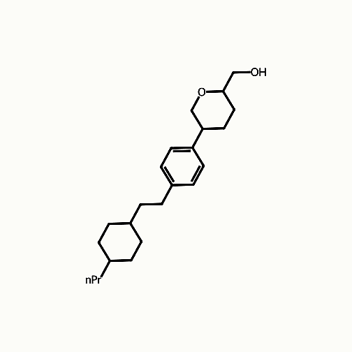 CCCC1CCC(CCc2ccc(C3CCC(CO)OC3)cc2)CC1